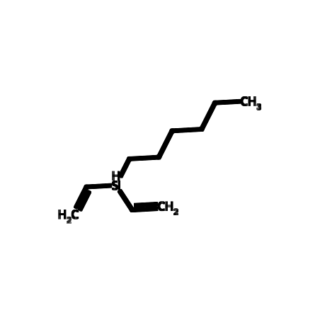 C=C[SiH](C=C)CCCCCC